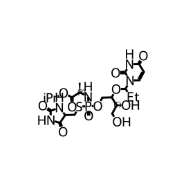 CCC(OC(COP(=O)(N[C@H](C)C(=O)OC(C)C)SCC1NC(=O)NC1=O)[C@@H](O)CO)n1ccc(=O)[nH]c1=O